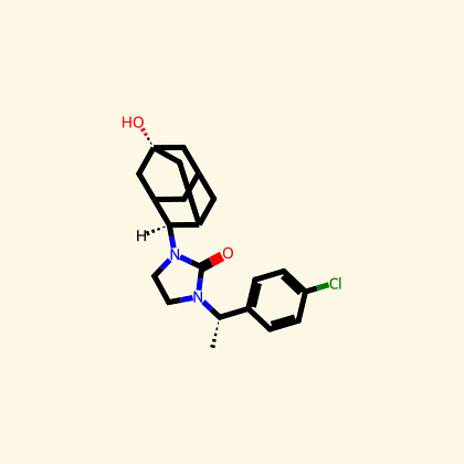 C[C@@H](c1ccc(Cl)cc1)N1CCN([C@H]2C3CC4CC2C[C@](O)(C4)C3)C1=O